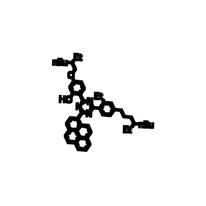 CCCCC(CC)CCCc1ccc(-c2nc(-c3ccc(OCC(CC)CCCC)cc3O)nc(-c3ccc4ccc5cccc6ccc3c4c56)n2)c(CC)c1